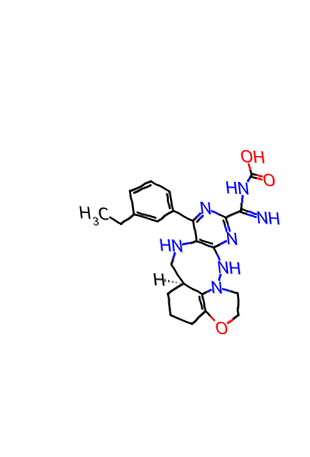 CCc1cccc(-c2nc(C(=N)NC(=O)O)nc3c2NC[C@@H]2CCCC4=C2N(CCO4)N3)c1